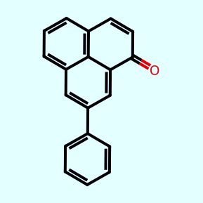 O=C1C=Cc2cccc3cc(-c4ccccc4)cc1c23